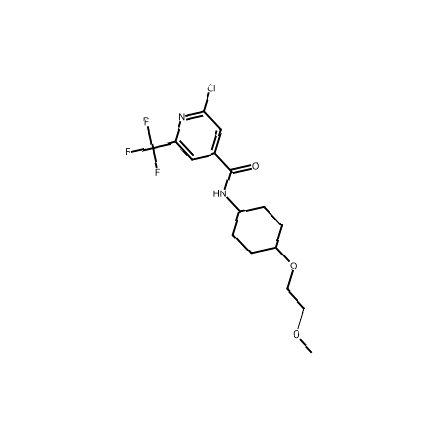 COCCOC1CCC(NC(=O)c2cc(Cl)nc(C(F)(F)F)c2)CC1